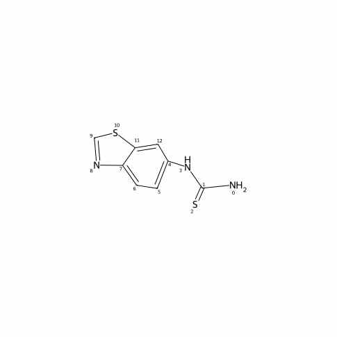 NC(=S)Nc1ccc2ncsc2c1